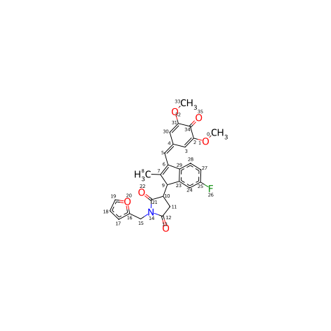 COC1=CC(=CC2=C(C)C(C3CC(=O)N(Cc4ccco4)C3=O)c3cc(F)ccc32)C=C(OC)C1=O